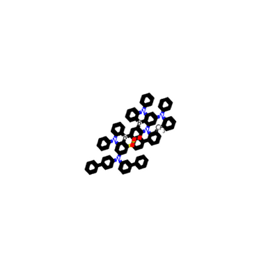 FC(F)(F)c1cccc(-c2ccccc2)c1N1c2cc3c(cc2B2c4ccccc4N(c4ccccc4)c4cc(N(c5ccccc5)c5ccccc5)cc1c42)B1c2ccccc2N(c2ccccc2)c2cc(N(c4ccc(-c5ccccc5)cc4)c4cccc(-c5ccccc5)c4)cc(c21)S3